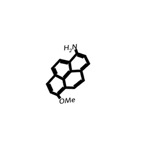 COc1ccc2ccc3c(N)ccc4ccc1c2c43